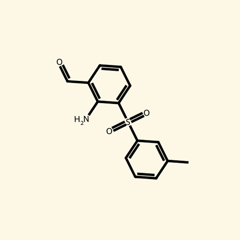 Cc1cccc(S(=O)(=O)c2cccc(C=O)c2N)c1